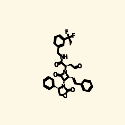 O=CC[C@@H](C(=O)NCc1cccc(C(F)(F)F)c1)N1C(=O)[C@@H](N2C(=O)OC[C@@H]2c2ccccc2)[C@H]1/C=C/c1ccccc1